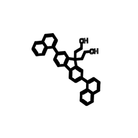 OCCC1(CCO)c2cc(-c3cccc4ccccc34)ccc2-c2ccc(-c3cccc4ccccc34)cc21